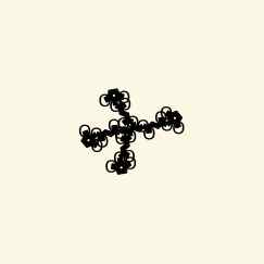 O=C(CCC(=O)OC1C(=O)CCC1=O)OCC(OC(=O)CCC(=O)OC1C(=O)CCC1=O)C(COC(=O)CCC(=O)OC1C(=O)CCC1=O)OC(=O)CCC(=O)OC1C(=O)CCC1=O